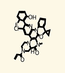 C=CC(=O)N1CCN2c3c(c(=O)n(-c4ccccc4C4(C)CC4)c4nc(-c5c(O)cccc5F)c(Cl)cc34)N(C)C(=O)[C@H]2C1